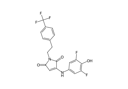 O=C1C=C(Nc2cc(F)c(O)c(F)c2)C(=O)N1CCc1ccc(C(F)(F)F)cc1